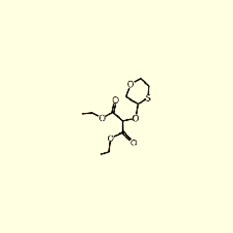 CCOC(=O)C(OC1COCCS1)C(=O)OCC